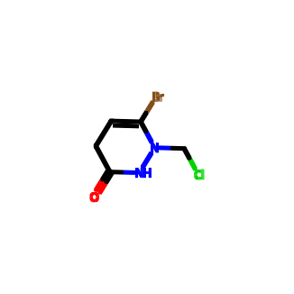 O=C1CC=C(Br)N(CCl)N1